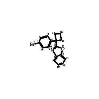 Brc1ccc(C2(c3nc4ccccc4o3)CCC2)cc1